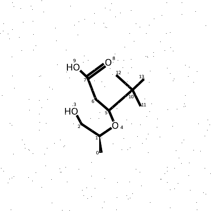 C[C@@H](CO)OC(CC(=O)O)C(C)(C)C